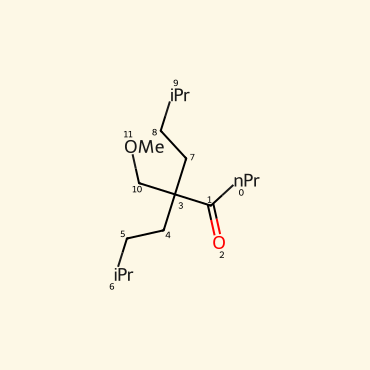 [CH2]CCC(=O)C(CCC(C)C)(CCC(C)C)COC